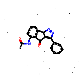 CC(=O)Nc1cccc2c1C(=O)C1=C(c3ccccc3)N=NC12